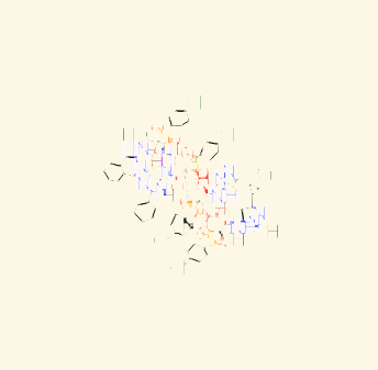 CC(C)(C(=O)Nc1cc2ccccc2cn1)S(=O)(=O)c1ccc(Cl)cc1.CC(C)(C(=O)Nc1nc(-c2ccccc2)ns1)S(=O)(=O)c1ccc(Cl)cc1.CC(C)(C)c1nnc(NC(=O)C(C)(C)S(=O)(=O)c2ccc(Cl)cc2)s1.Cn1nc(C2CC2)cc1NC(=O)C(C)(C)S(=O)(=O)c1ccc(Cl)cc1